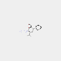 CC(C)C1=C(N)c2occc2C(c2ccccc2)C1